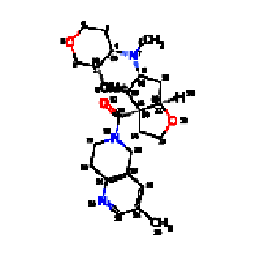 CO[C@@H]1COCC[C@@H]1N(C)[C@@H]1C[C@H]2OCC[C@@]2(C(=O)N2CCc3ncc(C)cc3C2)C1